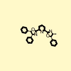 C[C@@H]1N=C(c2cccc(C3=N[C@@H](c4ccccc4)[C@@H](c4ccccc4)O3)n2)O[C@@H]1c1ccccc1